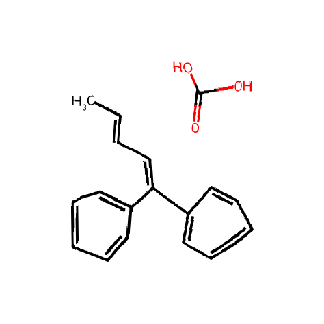 C/C=C/C=C(c1ccccc1)c1ccccc1.O=C(O)O